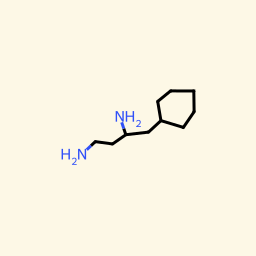 NCCC(N)CC1CCCCC1